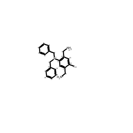 NCc1cc(N(Cc2ccccc2)Cc2ccccc2)c(CN)cc1I